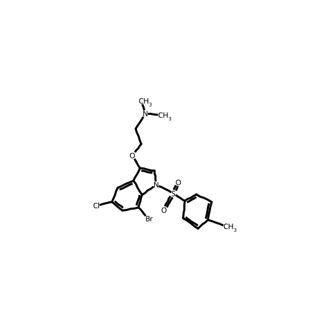 Cc1ccc(S(=O)(=O)n2cc(OCCN(C)C)c3cc(Cl)cc(Br)c32)cc1